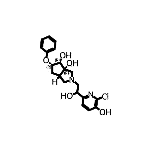 Oc1ccc(C(O)CN2C[C@@H]3C[C@@H](Oc4ccccc4)[C@@H](O)[C@]3(O)C2)nc1Cl